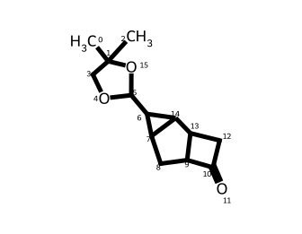 CC1(C)COC(C2C3CC4C(=O)CC4C32)O1